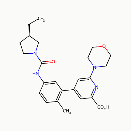 Cc1ccc(NC(=O)N2CC[C@@H](CC(F)(F)F)C2)cc1-c1cc(C(=O)O)nc(N2CCOCC2)c1